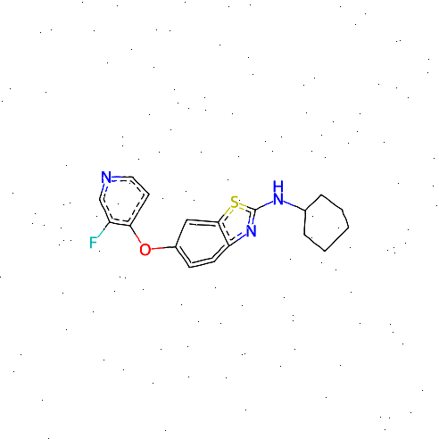 Fc1cnccc1OC1=C=C=c2nc(NC3CCCCC3)sc2=C1